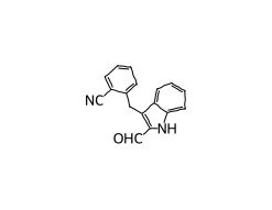 N#Cc1ccccc1Cc1c(C=O)[nH]c2ccccc12